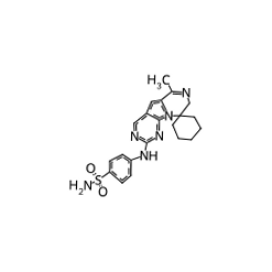 CC1=NCC2(CCCCC2)n2c1cc1cnc(Nc3ccc(S(N)(=O)=O)cc3)nc12